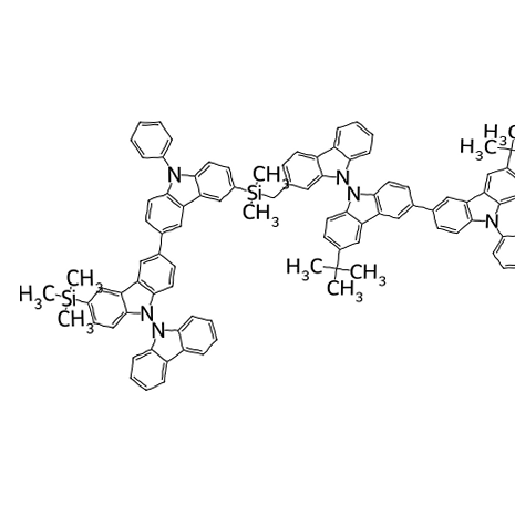 CC(C)(C)c1ccc2c(c1)c1cc(-c3ccc4c(c3)c3cc(C(C)(C)C)ccc3n4-n3c4ccccc4c4ccc(C[Si](C)(C)c5ccc6c(c5)c5cc(-c7ccc8c(c7)c7cc([Si](C)(C)C)ccc7n8-n7c8ccccc8c8ccccc87)ccc5n6-c5ccccc5)cc43)ccc1n2-c1ccccc1